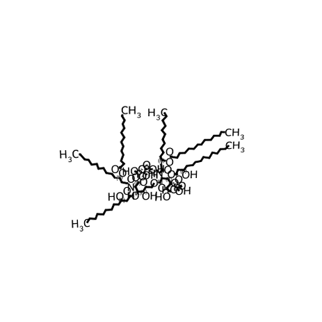 CCCCCCCCCCCCCC(=O)O[C@H](CCCCCCCCCCC)CC(=O)NC1[C@@H](OP(=O)(O)OP(=O)(O)O)OC(CO[C@@H]2OC(CO)[C@@H](OP(=O)(O)O)[C@H](OC(=O)C[C@H](O)CCCCCCCCCCC)C2NC(=O)C[C@@H](CCCCCCCCCCC)OC(=O)CCCCCCCCCCCCC)[C@@H](O)[C@@H]1OC(=O)C[C@H](O)CCCCCCCCC